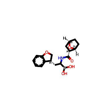 O=C(NC(C[C@H]1COc2ccccc21)B(O)O)[C@@H]1C[C@H]2CC[C@@H]1O2